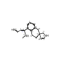 CN/C(=C\C=N)c1cccc2c1CCC1(CNC=N1)C2